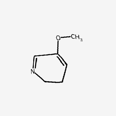 COC1=CCCN=C1